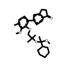 COc1c(C)ccc(-c2ccc3c(c2)CCC3=O)c1OCC(C)(C)OC(C)(OC)C1CCCCC1